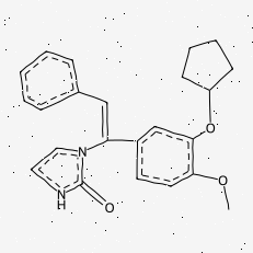 COc1ccc(C(=Cc2ccccc2)n2cc[nH]c2=O)cc1OC1CCCC1